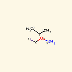 CCC.NOCI